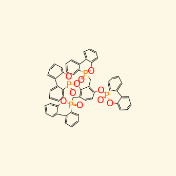 O=P1(Cc2ccc(OP3(=O)Oc4ccccc4-c4ccccc43)c(CP3(=O)Oc4ccccc4-c4ccccc43)c2OP2(=O)Oc3ccccc3-c3ccccc32)Oc2ccccc2-c2ccccc21